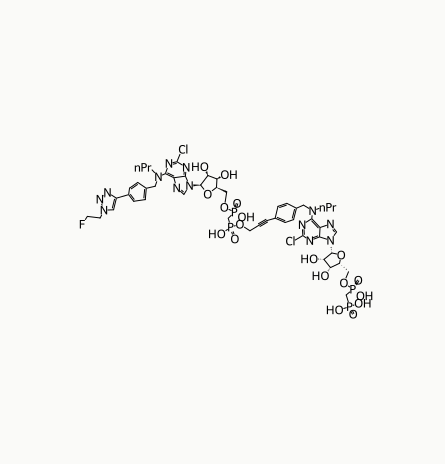 CCCN(Cc1ccc(C#CCOP(=O)(O)CP(=O)(O)OC[C@H]2O[C@@H](n3cnc4c(N(CCC)Cc5ccc(-c6cn(CCF)nn6)cc5)nc(Cl)nc43)[C@@H](O)[C@H]2O)cc1)c1nc(Cl)nc2c1ncn2[C@@H]1O[C@H](COP(=O)(O)CP(=O)(O)O)[C@H](O)[C@@H]1O